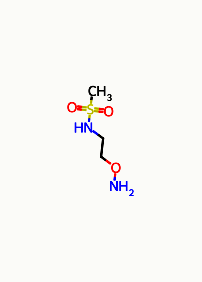 CS(=O)(=O)NCCON